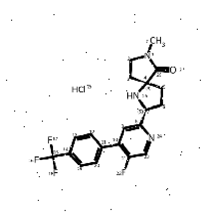 CN1CC[C@]2(CC[C@@H](c3cc(-c4ccc(C(F)(F)F)cc4)c(F)cn3)N2)C1=O.Cl